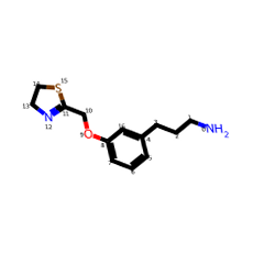 NCCCc1cccc(OCC2=NCCS2)c1